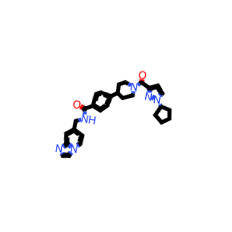 O=C(NCc1ccn2ccnc2c1)c1ccc(C2CCN(C(=O)c3ccn(C4CCCC4)n3)CC2)cc1